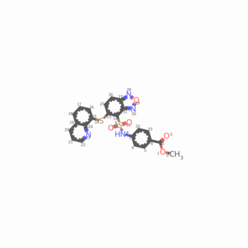 COC(=O)c1ccc(NS(=O)(=O)c2c(Sc3cccc4cccnc34)ccc3nonc23)cc1